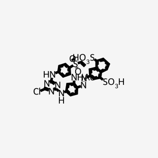 C=CS(=O)(=O)c1ccc(Nc2nc(Cl)nc(Nc3ccc(/N=N/c4cc(S(=O)(=O)O)c5cccc(S(=O)(=O)O)c5c4)c(NC(C)=O)c3)n2)cc1